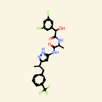 CC(NC(=O)C(O)c1cc(F)cc(F)c1)C(=O)Nc1cc(C(C)Cc2cccc(C(F)(F)F)c2)n[nH]1